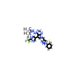 CN(C)C=Nc1ncnc2c1c(-c1cnc(C(F)(F)F)nc1)cn2Cc1cn(-c2ccccc2F)nn1